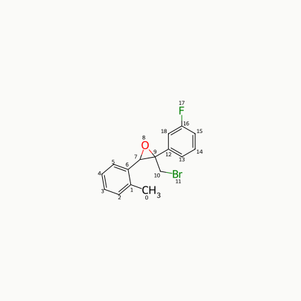 Cc1ccccc1C1OC1(CBr)c1cccc(F)c1